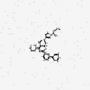 CC(C)(C)OC(=O)n1ccc(-c2cnc3c(N4CCOCC4)nc(-c4ccnc(-c5ccccc5)n4)nc3c2)n1